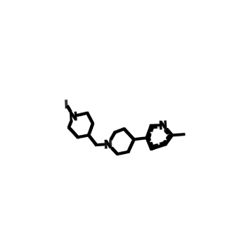 Cc1ccc(C2CCN(CC3CCN(I)CC3)CC2)cn1